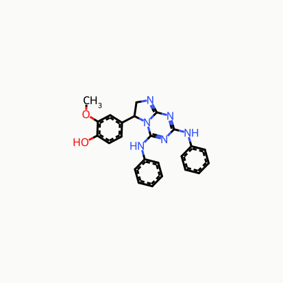 COc1cc(C2CN=C3N=C(Nc4ccccc4)N=C(Nc4ccccc4)N32)ccc1O